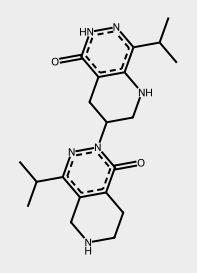 CC(C)c1nn(C2CNc3c(C(C)C)n[nH]c(=O)c3C2)c(=O)c2c1CNCC2